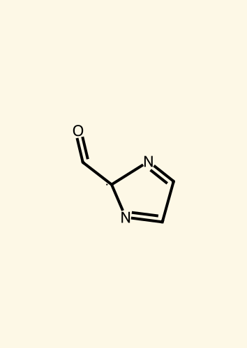 O=C[C]1N=CC=N1